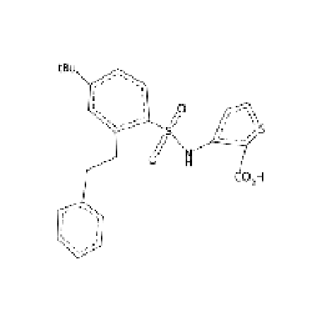 CC(C)(C)c1ccc(S(=O)(=O)Nc2ccsc2C(=O)O)c(CCc2ccccc2)c1